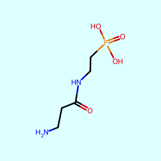 NCCC(=O)NCCP(=O)(O)O